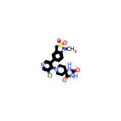 CN1c2ccc(-c3cncc(Cl)c3N3CCC4(CC3)NC(=O)NC4=O)cc2CS1(=O)=O